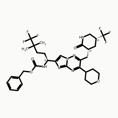 CC(C)(CC[C@H](NC(=O)OCc1ccccc1)c1cn2nc(C[C@H]3C[C@@H](C(F)(F)F)CNC3=O)c(C3CCOCC3)nc2n1)C(F)(F)F